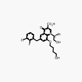 CC(C)[C@@H](CO)n1cc(C(=O)O)c(=O)c2cc(Cc3cccc(Cl)c3F)cc(OCCCCO)c21